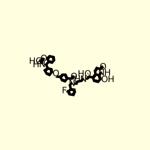 O=C(O)N[C@@H](c1ccccc1)c1cccc(OCc2ccc(C(=O)N(CCCNC[C@H](O)c3ccc(O)c4[nH]c(=O)ccc34)Cc3ccccc3F)cc2)c1